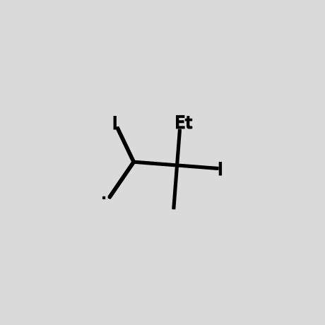 [CH2]C(I)C(C)(I)CC